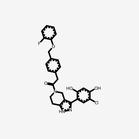 O=C(Cc1ccc(COc2ccccc2F)cc1)N1CCc2[nH]nc(-c3cc(Cl)c(O)cc3O)c2C1